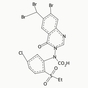 CCS(=O)(=O)c1ccc(Cl)cc1N(C(=O)O)n1cnc2cc(Br)c(C(Br)Br)cc2c1=O